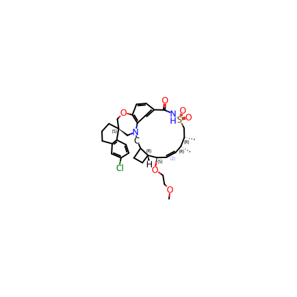 COCCO[C@@H]1/C=C\[C@@H](C)[C@@H](C)CS(=O)(=O)NC(=O)c2ccc3c(c2)N(CC2CC[C@H]21)C[C@@]1(CCCc2cc(Cl)ccc21)CO3